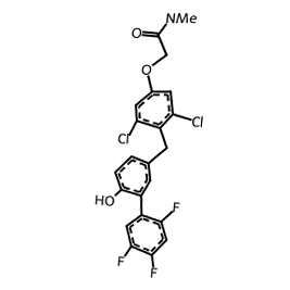 CNC(=O)COc1cc(Cl)c(Cc2ccc(O)c(-c3cc(F)c(F)cc3F)c2)c(Cl)c1